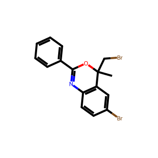 CC1(CBr)OC(c2ccccc2)=Nc2ccc(Br)cc21